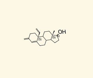 C=C[C@]12CCC(=C)C=C1CCC1C2CC[C@@]2(C)C1CC[C@@H]2O